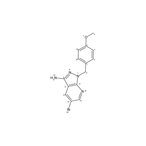 COc1ccc(Cn2nc(N)c3cc(Br)cnc32)cc1